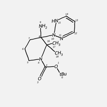 CC(C)(C)OC(=O)N1CCCC(N)(N2N=CC=CN2)C1(C)C